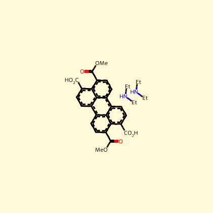 CCNCC.CCNCC.COC(=O)c1ccc2c3ccc(C(=O)O)c4c(C(=O)OC)ccc(c5ccc(C(=O)O)c1c52)c43